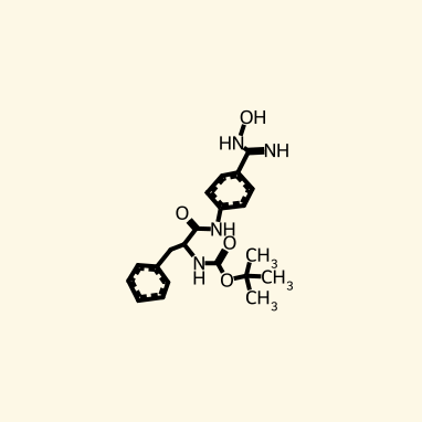 CC(C)(C)OC(=O)NC(Cc1ccccc1)C(=O)Nc1ccc(C(=N)NO)cc1